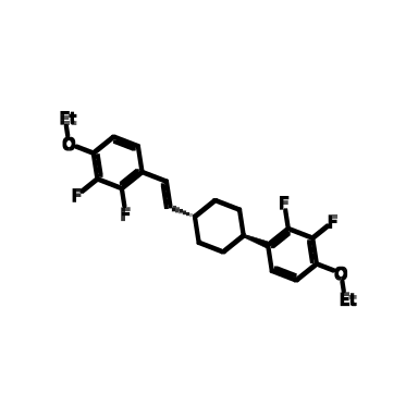 CCOc1ccc(C=C[C@H]2CC[C@H](c3ccc(OCC)c(F)c3F)CC2)c(F)c1F